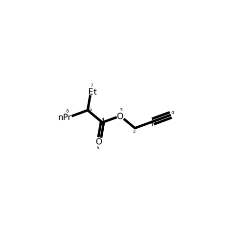 C#CCOC(=O)C(CC)CCC